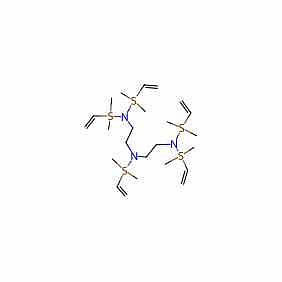 C=CS(C)(C)N(CCN(S(C)(C)C=C)S(C)(C)C=C)CCN(S(C)(C)C=C)S(C)(C)C=C